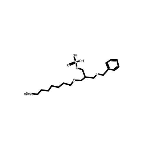 CCCCCCCCCCCCCCCCCOCC(COCc1ccccc1)COP(=O)(O)O